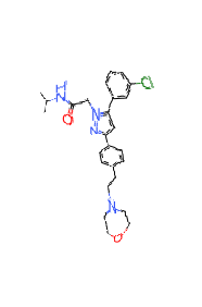 CC(C)NC(=O)Cn1nc(-c2ccc(CCN3CCOCC3)cc2)cc1-c1cccc(Cl)c1